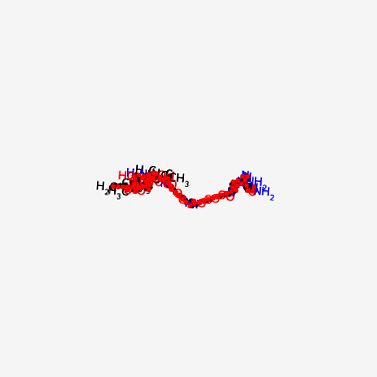 C=C/C=C/C=C(\C)[C@H](C[C@@H]1CCC[C@](O)(C(=O)C(=O)N2CCCC[C@H]2C(=O)O[C@@H](C[C@@H](O)[C@H](C)/C=C(\C)[C@@H](O)[C@@H](O)/C(=N/OCC(=O)CCCOCCOCCN2CCN(CCOCCOCCOCCOCCC(=O)N3CCc4cc(Cn5nc(-c6ccc7oc(N)nc7c6)c6c(N)nncc65)ccc4C3)CC2)[C@H](C)CC(C)C)[C@H](N)C[C@@H]2CC[C@@H](O)[C@H](OC)C2)O1)OC